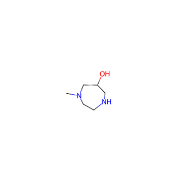 CN1CCNCC(O)C1